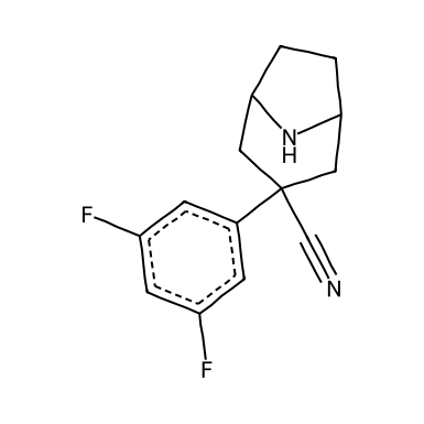 N#CC1(c2cc(F)cc(F)c2)CC2CCC(C1)N2